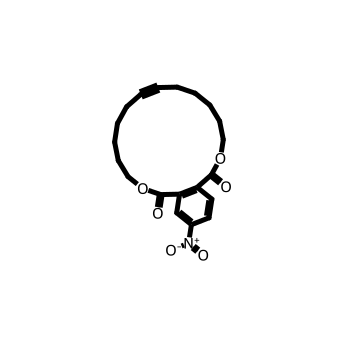 O=C1OCCCCCC#CCCCCCOC(=O)c2cc([N+](=O)[O-])ccc21